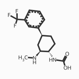 CN[C@H]1C[C@@H](c2cccc(C(F)(F)F)c2)CC[C@@H]1NC(=O)O